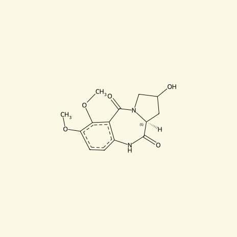 COc1ccc2c(c1OC)C(=O)N1CC(O)C[C@H]1C(=O)N2